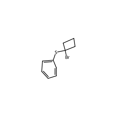 BrC1(Sc2ccccc2)CCC1